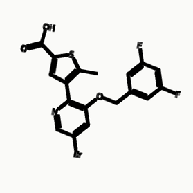 Cc1sc(C(=O)O)cc1-c1ncc(Br)cc1OCc1cc(F)cc(F)c1